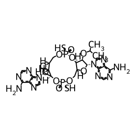 CC(C)O[C@@H]1[C@@H]2OP(=O)(S)OC[C@H]3O[C@@H](n4cnc5c(N)ncnc54)[C@H](OP(=O)(S)OC[C@H]2O[C@H]1n1cnc2c(N)ncnc21)[C@@H]3O